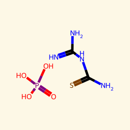 N=C(N)NC(N)=S.O=P(O)(O)O